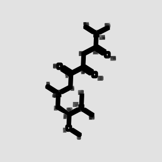 CO[C@@H](CN(C)CC(=O)C(=O)CC(=O)N(C)C)N(C)C